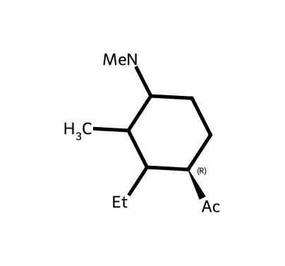 CCC1C(C)C(NC)CC[C@H]1C(C)=O